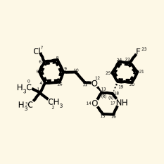 CC(C)(C)c1cc(Cl)cc(CCO[C@@H]2OCCN[C@H]2c2ccc(F)cc2)c1